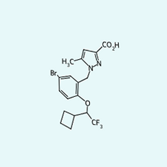 Cc1cc(C(=O)O)nn1Cc1cc(Br)ccc1OC(C1CCC1)C(F)(F)F